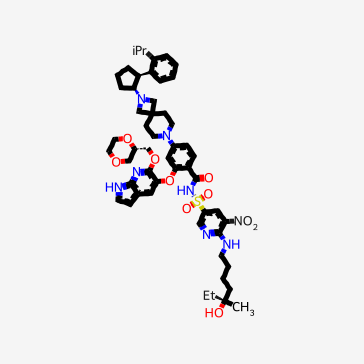 CC[C@@](C)(O)CCCCNc1ncc(S(=O)(=O)NC(=O)c2ccc(N3CCC4(CC3)CN([C@H]3CCC[C@H]3c3ccccc3C(C)C)C4)cc2Oc2cc3cc[nH]c3nc2OC[C@@H]2COCCO2)cc1[N+](=O)[O-]